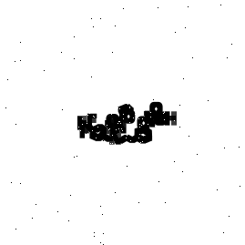 CC(C)(Oc1cccc(CCCN(Cc2ccc(C(F)(F)F)cc2)c2noc(-c3ccco3)n2)c1)C(=O)O